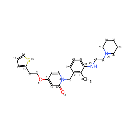 Cc1c(Cn2ccc(OCCc3cccs3)cc2=O)cccc1NCCN1CCCCC1